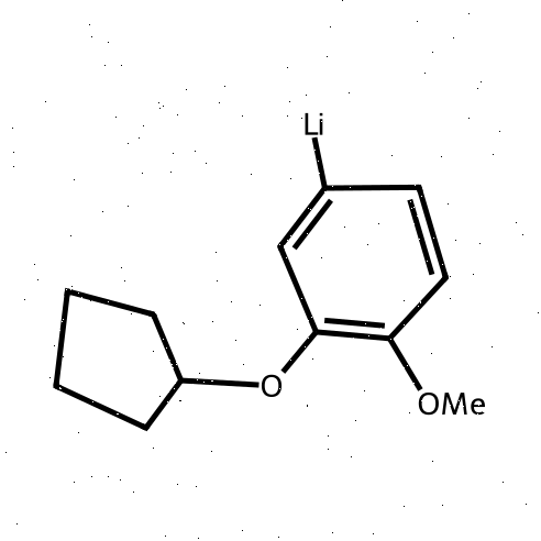 [Li][c]1ccc(OC)c(OC2CCCC2)c1